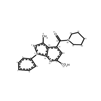 Cc1nn(-c2ccccc2)c2nc(C(=O)O)cc(C(=O)N3CCCCC3)c12